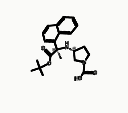 CC(C)(C)OC(=O)[C@](C)(N[C@@H]1CCN(C(=O)O)C1)c1cccc2ccccc12